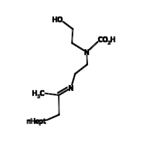 CCCCCCCC/C(C)=N/CCN(CCO)C(=O)O